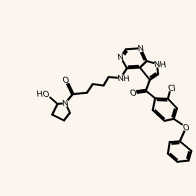 O=C(c1ccc(Oc2ccccc2)cc1Cl)c1c[nH]c2ncnc(NCCCCC(=O)N3CCCC3O)c12